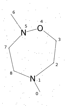 CN1CCON(C)CC1